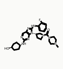 CN1CCN(C(=O)N2CC[C@H](n3c(Nc4ccccc4F)nc4cnc(N[C@H]5CC[C@H](O)CC5)nc43)C2)CC1